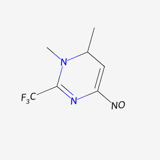 CC1C=C(N=O)N=C(C(F)(F)F)N1C